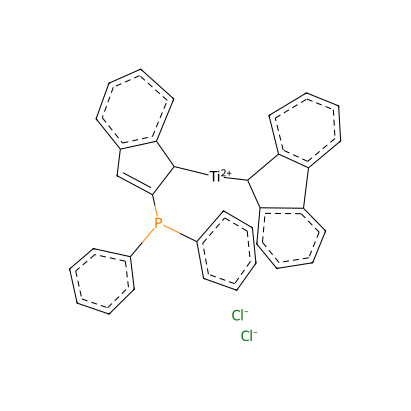 C1=C(P(c2ccccc2)c2ccccc2)[CH]([Ti+2][CH]2c3ccccc3-c3ccccc32)c2ccccc21.[Cl-].[Cl-]